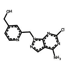 Nc1nc(Cl)nc2c1cnn2Cc1cc(CO)ccn1